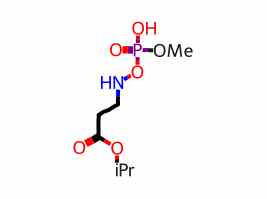 COP(=O)(O)ONCCC(=O)OC(C)C